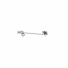 Cc1nnn(C)c1CCCCCCCCCCCCCCC(=O)O